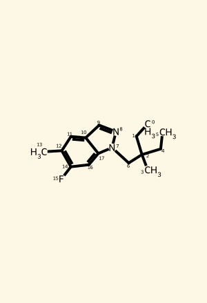 CCC(C)(CC)Cn1ncc2cc(C)c(F)cc21